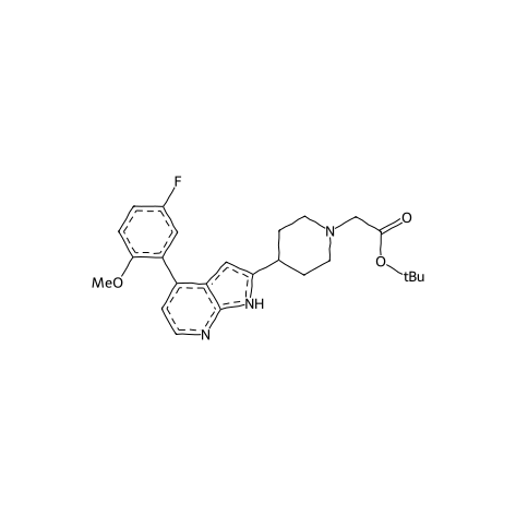 COc1ccc(F)cc1-c1ccnc2[nH]c(C3CCN(CC(=O)OC(C)(C)C)CC3)cc12